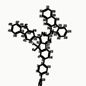 CC1(C)c2cc(-c3ccc(C#N)cc3)ccc2-c2nc(-n3c4ccccc4c4cc5ccccc5cc43)nc(-c3ccc4c(c3)sc3ccccc34)c21